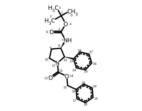 CC(C)(C)OC(=O)N[C@@H]1CCN(C(=O)OCc2ccccc2)[C@@H]1c1ccccc1